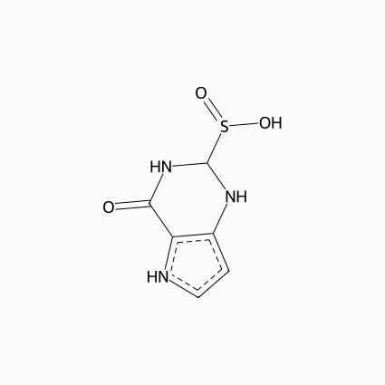 O=C1NC(S(=O)O)Nc2cc[nH]c21